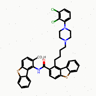 O=C(Nc1c(C(=O)O)ccc2sc3ccccc3c12)c1ccc2sc3ccccc3c2c1CCCCN1CCN(c2cccc(Cl)c2Cl)CC1